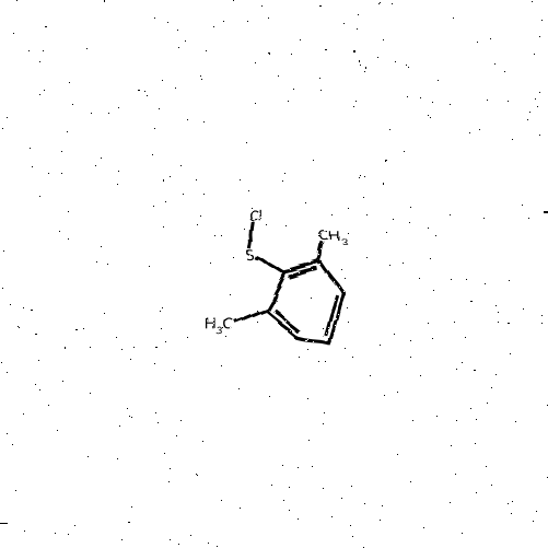 Cc1cccc(C)c1SCl